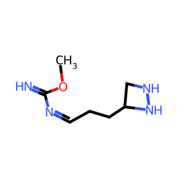 COC(=N)/N=C\CCC1CNN1